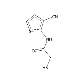 N#Cc1ccsc1NC(=O)CS